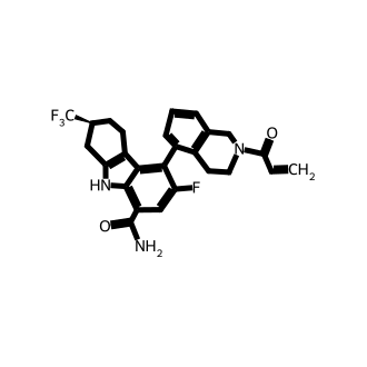 C=CC(=O)N1CCc2c(cccc2-c2c(F)cc(C(N)=O)c3[nH]c4c(c23)CC[C@H](C(F)(F)F)C4)C1